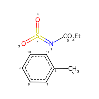 CCOC(=O)N=S(=O)=O.Cc1ccccc1